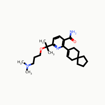 CN(C)CCCOC(C)(C)c1ccc(C(N)=O)c(C2=CCC3(CCCC3)CC2)n1